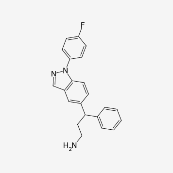 NCCC(c1ccccc1)c1ccc2c(cnn2-c2ccc(F)cc2)c1